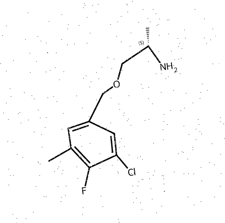 Cc1cc(COC[C@H](C)N)cc(Cl)c1F